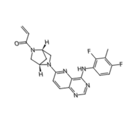 C=CC(=O)N1C[C@@H]2C[C@H]1CN2c1ccc2ncnc(Nc3ccc(F)c(C)c3F)c2n1